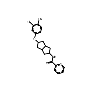 N#Cc1ccc(OC2CC3CC(NC(=O)c4ccccn4)CC3C2)cc1Cl